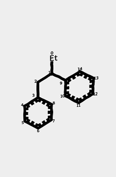 CC[C](Cc1ccccc1)c1ccccc1